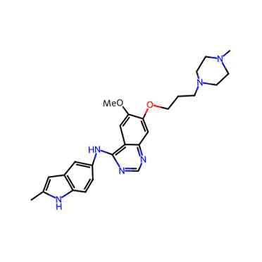 COc1cc2c(Nc3ccc4[nH]c(C)cc4c3)ncnc2cc1OCCCN1CCN(C)CC1